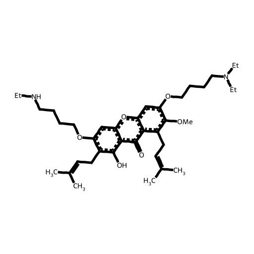 CCNCCCCOc1cc2oc3cc(OCCCCN(CC)CC)c(OC)c(CC=C(C)C)c3c(=O)c2c(O)c1CC=C(C)C